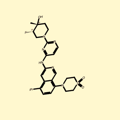 CC(C)c1ccc(N2CCS(=O)(=O)CC2)c2cnc(Nc3ccnc(N4CC[C@@](C)(O)[C@@H](F)C4)n3)cc12